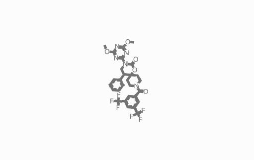 COc1nc(OC)nc(N2CC(c3ccccc3)C3(CCN(C(=O)c4cc(C(F)(F)F)cc(C(F)(F)F)c4)CC3)OC2=O)n1